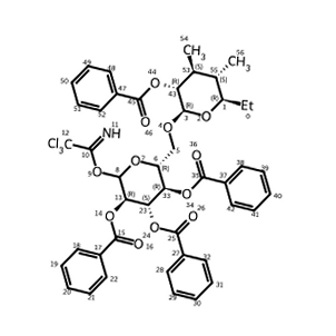 CC[C@H]1O[C@@H](OC[C@H]2OC(OC(=N)C(Cl)(Cl)Cl)[C@H](OC(=O)c3ccccc3)[C@@H](OC(=O)c3ccccc3)[C@@H]2OC(=O)c2ccccc2)[C@H](OC(=O)c2ccccc2)[C@@H](C)[C@@H]1C